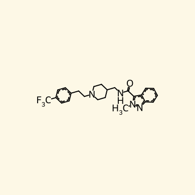 Cn1nc2ccccc2c1C(=O)NCC1CCN(CCc2ccc(C(F)(F)F)cc2)CC1